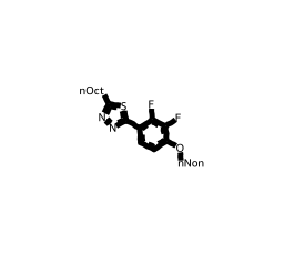 CCCCCCCCCOc1ccc(-c2nnc(CCCCCCCC)s2)c(F)c1F